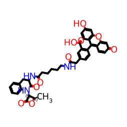 C[C@H]1OC(=O)[C@H]1NC(=O)C(Cc1ccccc1)NC(=O)CCCCCNC(=O)Cc1ccc(-c2c3ccc(=O)cc-3oc3cc(O)ccc23)c(C(=O)O)c1